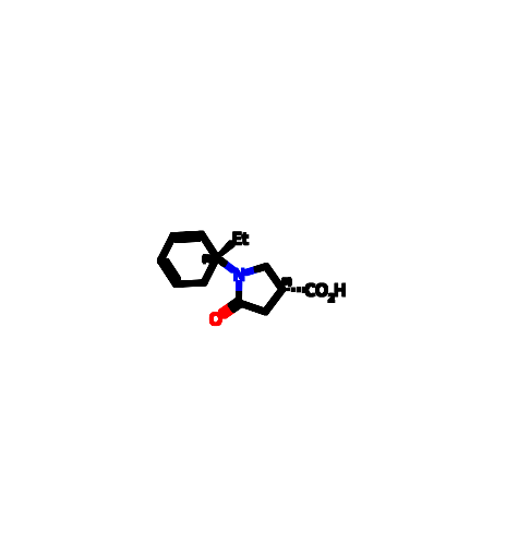 CC[C@]1(N2C[C@H](C(=O)O)CC2=O)C=CC=CC1